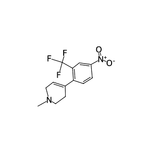 CN1CC=C(c2ccc([N+](=O)[O-])cc2C(F)(F)F)CC1